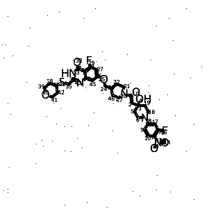 O=C(CC1(O)CCN(c2ccc([N+](=O)[O-])c(F)c2)CC1)N1CCC(COc2cc(F)c3c(=O)[nH]c(CSC4CCOCC4)nc3c2)CC1